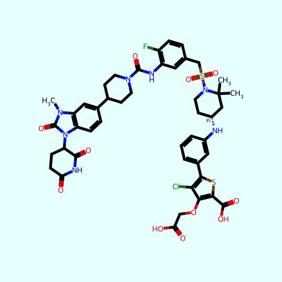 Cn1c(=O)n(C2CCC(=O)NC2=O)c2ccc(C3CCN(C(=O)Nc4cc(CS(=O)(=O)N5CC[C@@H](Nc6cccc(-c7sc(C(=O)O)c(OCC(=O)O)c7Cl)c6)CC5(C)C)ccc4F)CC3)cc21